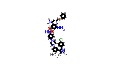 CN(C)CC[C@H](CSc1ccccc1)Nc1ccc(S(=O)(=O)Nc2ccc(N3CCN(c4cccc(-c5c(-c6ccc(Cl)cc6)nn(C)c5C(=O)O)c4)CC3)cc2)cc1N